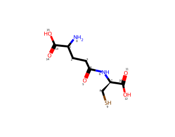 NC(CCC(=O)N[C@H](CS)C(=O)O)C(=O)O